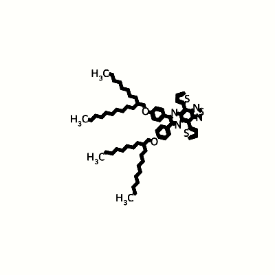 CCCCCCCCCCC(CCCCCCCC)COc1ccc(-c2nc3c(-c4cccs4)c4nsnc4c(-c4cccs4)c3nc2-c2ccc(OCC(CCCCCCCC)CCCCCCCCCC)cc2)cc1